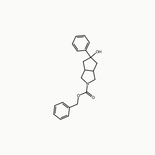 O=C(OCc1ccccc1)N1CC2CC(O)(c3ccccc3)CC2C1